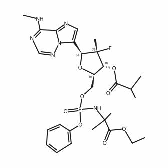 CCOC(=O)C(C)(C)NP(=O)(OC[C@H]1O[C@@H](c2cnc3c(NC)ncnn23)[C@](C)(F)[C@@H]1OC(=O)C(C)C)Oc1ccccc1